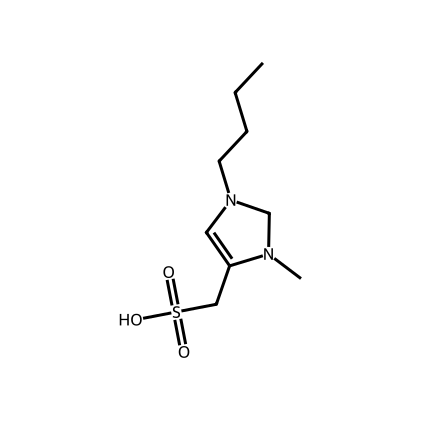 CCCCN1C=C(CS(=O)(=O)O)N(C)C1